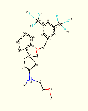 COCCN(C)C1CCC(COCc2cc(C(F)(F)F)cc(C(F)(F)F)c2)(c2ccccc2)C1